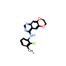 Cc1cccc(Nc2ncnc3cc4c(cc23)OCCO4)c1F